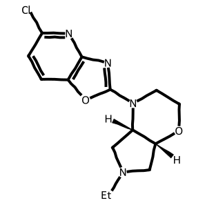 CCN1C[C@H]2OCCN(c3nc4nc(Cl)ccc4o3)[C@H]2C1